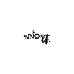 CCN1CCN(c2ccc(Nc3ccnc(NC)n3)cc2F)CC1